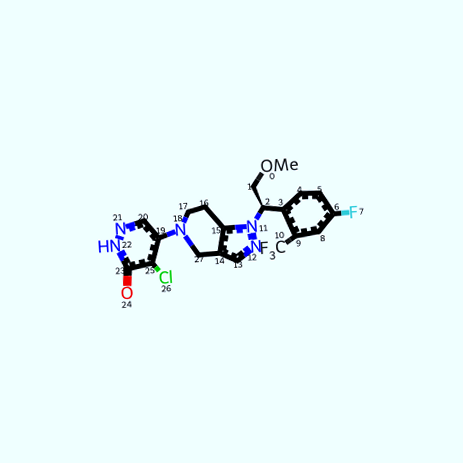 COC[C@@H](c1ccc(F)cc1C(F)(F)F)n1ncc2c1CCN(c1cn[nH]c(=O)c1Cl)C2